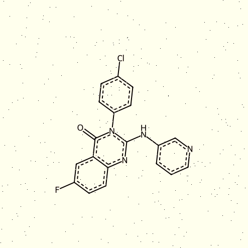 O=c1c2cc(F)ccc2nc(Nc2cccnc2)n1-c1ccc(Cl)cc1